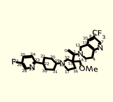 C=C(N1CCc2ncc(C(F)(F)F)cc2C1)C1(COC)CCN(C2CCC(c3ccc(F)cn3)CC2)C1